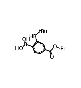 CC(C)OC(=O)c1ccc(B(O)O)c(BC(C)(C)C)c1